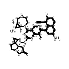 C#Cc1c(F)ccc2cc(N)cc(-c3ncc4c(N5CCOC[C@@H]6[C@@H](Cl)[C@@H]65)nc(OC[C@]56CC(=C)CN5CCC65CC5)nc4c3C)c12